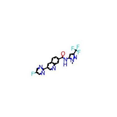 Cn1nc(C(F)(F)F)cc1NC(=O)c1ccc2cc(-c3ncc(F)cn3)cnc2c1